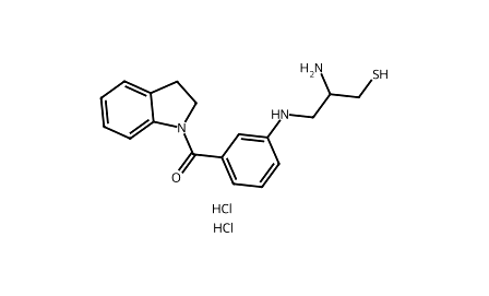 Cl.Cl.NC(CS)CNc1cccc(C(=O)N2CCc3ccccc32)c1